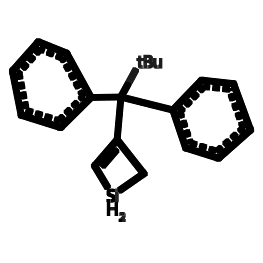 CC(C)(C)C(C1=C[SiH2]C1)(c1ccccc1)c1ccccc1